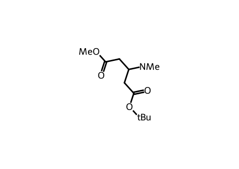 CNC(CC(=O)OC)CC(=O)OC(C)(C)C